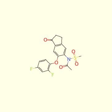 CC(=O)N(c1cc2c(cc1Oc1ccc(F)cc1F)C(=O)CC2)S(C)(=O)=O